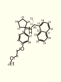 CCOCCOc1ccc(C2(N[C@H](C)c3cccc4ccccc34)CCCC2)cc1